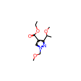 CCOC(=O)c1cn(COC)nc1C(C)OC